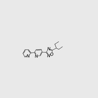 CCC(CC)c1nc(-c2ccc(-c3ccccn3)nc2)no1